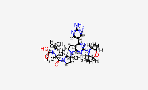 [2H]C1([2H])OC([2H])([2H])C([2H])([2H])N(c2nc(-c3cnc(N)nc3)c3c(n2)N([C@@]2(C)CCN(C(=O)C(C)(C)N(C(=O)O)C(C)(C)C)C2)CC3)C1([2H])[2H]